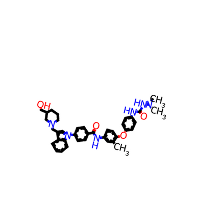 Cc1cc(NC(=O)c2ccc(-n3cc(CN4CCCC(CO)C4)c4ccccc43)cc2)ccc1Oc1ccc(NC(=O)NN(C)C)cc1